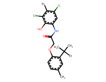 CCc1c(Cl)cc(NC(=O)COc2ccc(C)cc2C(C)(C)CC)c(O)c1Cl